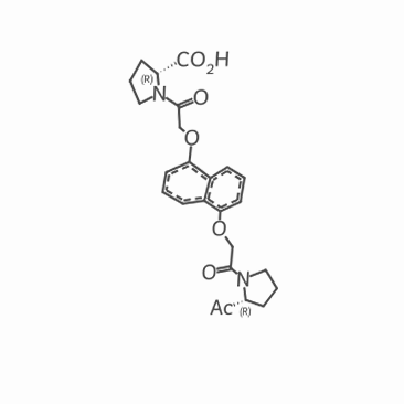 CC(=O)[C@H]1CCCN1C(=O)COc1cccc2c(OCC(=O)N3CCC[C@@H]3C(=O)O)cccc12